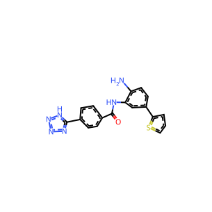 Nc1ccc(-c2cccs2)cc1NC(=O)c1ccc(-c2nnn[nH]2)cc1